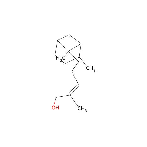 C/C(=C/CCC1(C)C2CCC(C)C1C2)CO